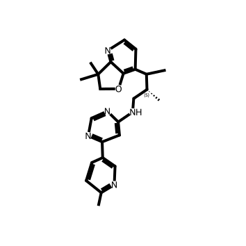 Cc1ccc(-c2cc(NC[C@@H](C)C(C)c3ccnc4c3OCC4(C)C)ncn2)cn1